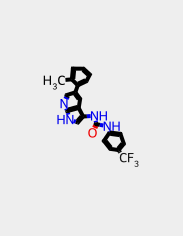 Cc1ccccc1-c1cnc2[nH]cc(NC(=O)Nc3ccc(C(F)(F)F)cc3)c2c1